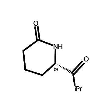 CC(C)C(=O)[C@@H]1CCCC(=O)N1